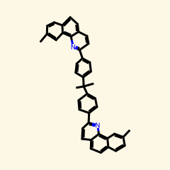 Cc1ccc2ccc3ccc(-c4ccc(C(C)(C)c5ccc(-c6ccc7ccc8ccc(C)cc8c7n6)cc5)cc4)nc3c2c1